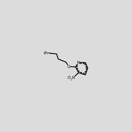 CC(C)CCCOc1ncccc1[N+](=O)[O-]